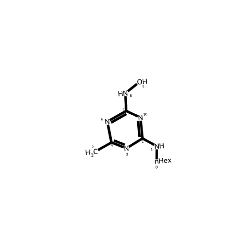 CCCCCCNc1nc(C)nc(NO)n1